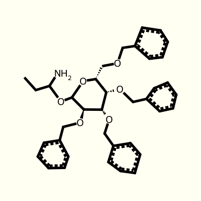 CCC(N)OC1O[C@H](COCc2ccccc2)[C@H](OCc2ccccc2)[C@H](OCc2ccccc2)[C@H]1OCc1ccccc1